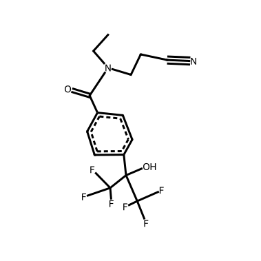 CCN(CCC#N)C(=O)c1ccc(C(O)(C(F)(F)F)C(F)(F)F)cc1